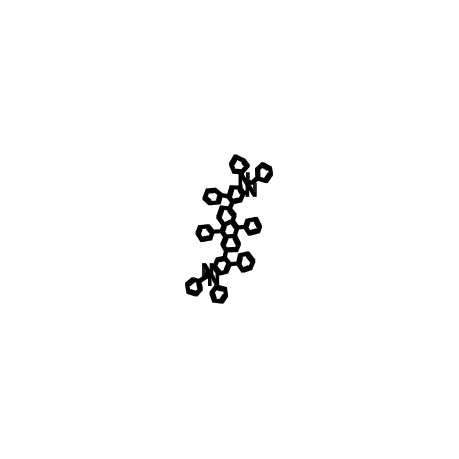 c1ccc(-c2cc3c(cc2-c2ccc4c(-c5ccccc5)c5cc(-c6cc7nc(-c8ccccc8)n(-c8ccccc8)c7cc6-c6ccccc6)ccc5c(-c5ccccc5)c4c2)nc(-c2ccccc2)n3-c2ccccc2)cc1